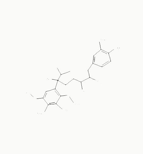 CCCCCOc1cc(C(C#N)(CCC(O)C(Cc2ccc(OC)c(OC)c2)[N+](=O)[O-])C(CC)CC)c(OCCCCC)c(OC)c1OC